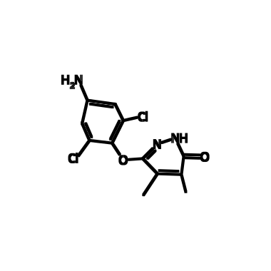 Cc1c(Oc2c(Cl)cc(N)cc2Cl)n[nH]c(=O)c1C